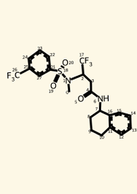 CN(C(CC(=O)NC1CCCc2ccccc21)C(F)(F)F)S(=O)(=O)c1cccc(C(F)(F)F)c1